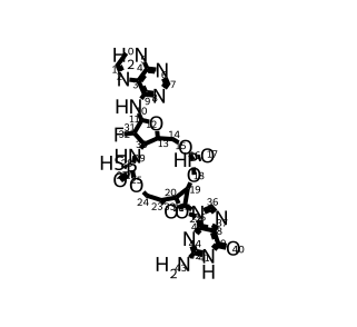 C/C=N\c1c(N)ncnc1NC1OC2CO[PH](=O)OC3C(OC)C(COP(=O)(S)NC2C1F)OC3n1cnc2c(=O)[nH]c(N)nc21